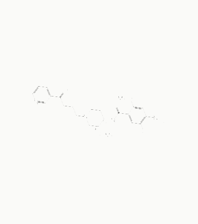 COc1cc(N)c(Cl)cc1C(=O)N[C@H]1CCN(CCCC(=O)c2cccnc2)C[C@H]1OC